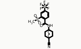 CS(=O)(=O)c1cc(S(F)(F)(F)(F)F)ccc1C(=O)NC12CCC(C#N)(CC1)CC2